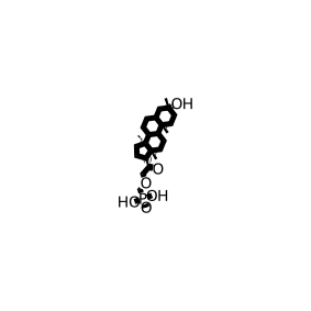 C[C@@]1(O)CC[C@@]2(C)C(CCC3C2CC[C@]2(C)[C@@H](C(=O)COCP(=O)(O)O)CC[C@@]32C)C1